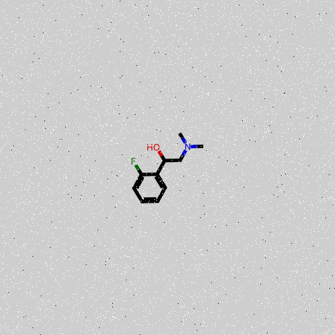 CN(C)CC(O)c1ccccc1F